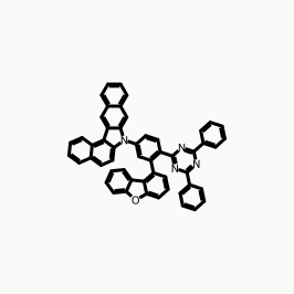 c1ccc(-c2nc(-c3ccccc3)nc(-c3ccc(-n4c5cc6ccccc6cc5c5c6ccccc6ccc54)cc3-c3cccc4oc5ccccc5c34)n2)cc1